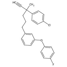 C#CC(C)(CCCc1cccc(Oc2ccc(F)cc2)c1)c1ccc(Cl)cc1